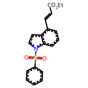 CCOC(=O)/C=C/c1cccc2c1ccn2S(=O)(=O)c1ccccc1